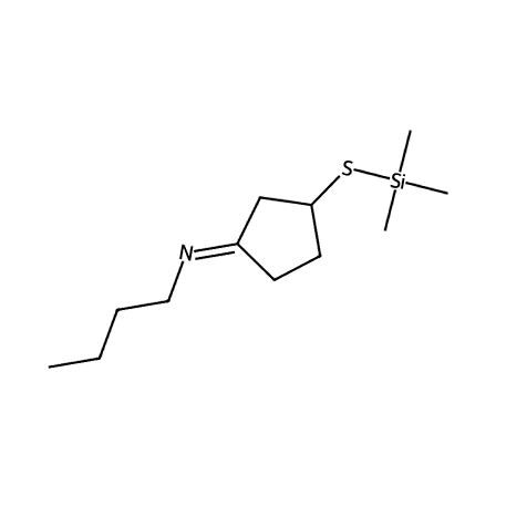 CCCC/N=C1\CCC(S[Si](C)(C)C)C1